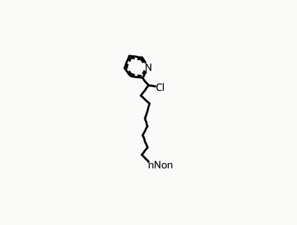 CCCCCCCCCCCCCCCCC(Cl)c1ccccn1